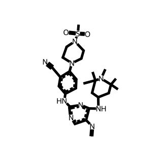 C=Nc1cnc(Nc2ccc(N3CCN(S(C)(=O)=O)CC3)c(C#N)c2)nc1NC1CC(C)(C)N(C)C(C)(C)C1